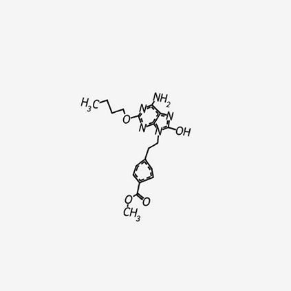 CCCCOc1nc(N)c2nc(O)n(CCc3ccc(C(=O)OC)cc3)c2n1